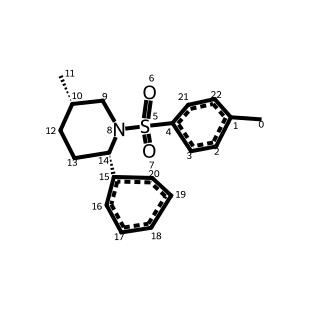 Cc1ccc(S(=O)(=O)N2C[C@@H](C)CC[C@H]2c2ccccc2)cc1